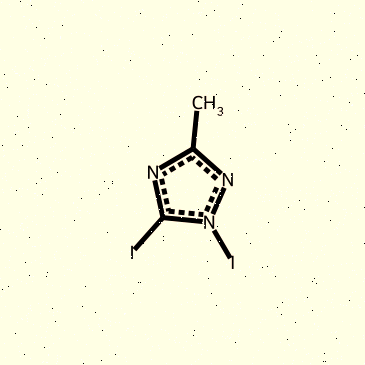 Cc1nc(I)n(I)n1